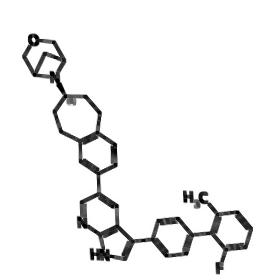 Cc1cccc(F)c1-c1ccc(-c2c[nH]c3ncc(-c4ccc5c(c4)CC[C@@H](N4C6COCC4C6)CC5)cc23)cc1